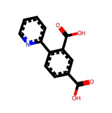 O=C(O)c1ccc(-c2ccccn2)c(C(=O)O)c1